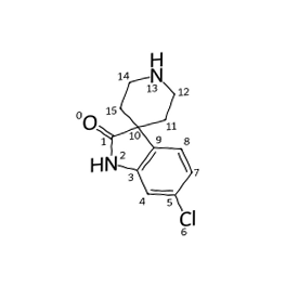 O=C1Nc2cc(Cl)ccc2C12CCNCC2